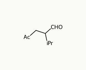 CC(=O)CC(C=O)C(C)C